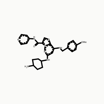 COc1ccc(CNc2cc(NC3CCC(N)CC3)nn3c(C(=O)Nc4ccncc4)cnc23)cc1